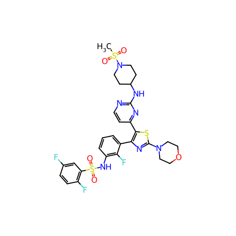 CS(=O)(=O)N1CCC(Nc2nccc(-c3sc(N4CCOCC4)nc3-c3cccc(NS(=O)(=O)c4cc(F)ccc4F)c3F)n2)CC1